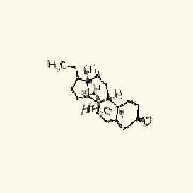 CCC1CC[C@H]2[C@@H]3CCC4=CC(=O)CC[C@]4(C)[C@@H]3CC[C@]12C